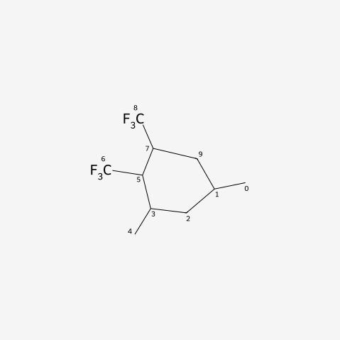 CC1CC(C)C(C(F)(F)F)C(C(F)(F)F)C1